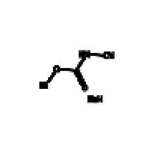 CCOC(=O)NC#N.[NaH]